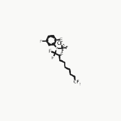 Fc1ccc(F)c(P(C(F)(F)C(F)CCCCCCC(F)(F)F)C(F)(F)C(F)(F)F)c1